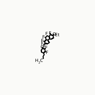 C=CCCc1ccc(OC(F)(F)c2ccc3c(c2F)C(F)C(F)c2c-3ccc(OCC)c2F)c(F)c1F